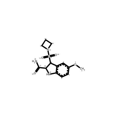 COc1ccc2c(c1)C(S(=O)(=O)N1CCC1)C(C(N)=O)N2